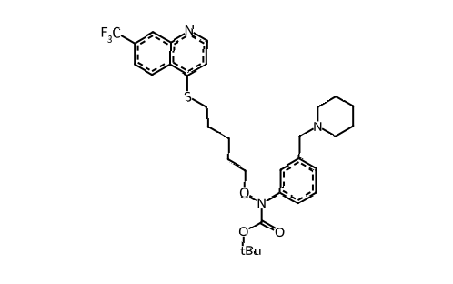 CC(C)(C)OC(=O)N(OCCCCCSc1ccnc2cc(C(F)(F)F)ccc12)c1cccc(CN2CCCCC2)c1